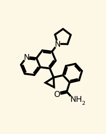 NC(=O)c1ccccc1C1(c2cc(N3CCCC3)cc3ncccc23)CC1